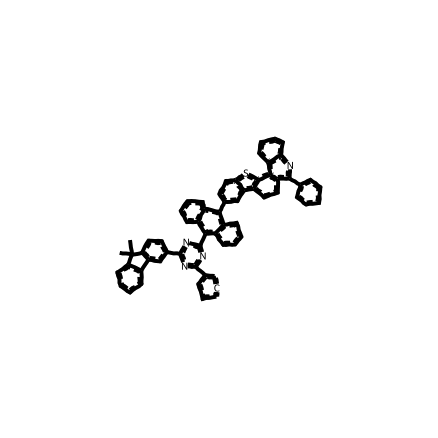 CC1(C)c2ccccc2-c2cc(-c3nc(-c4ccccc4)nc(-c4c5ccccc5c(-c5ccc6sc7c(ccc8c(-c9ccccc9)nc9ccccc9c87)c6c5)c5ccccc45)n3)ccc21